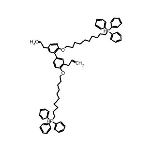 C=CCc1ccc(OCCCCCCCCCC[PH](c2ccccc2)(c2ccccc2)c2ccccc2)c(-c2ccc(OCCCCCCCCCC[PH](c3ccccc3)(c3ccccc3)c3ccccc3)c(CC=C)c2)c1